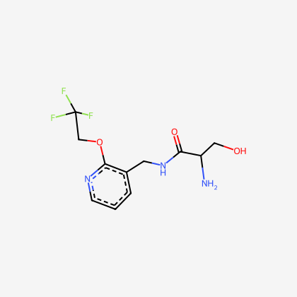 NC(CO)C(=O)NCc1cccnc1OCC(F)(F)F